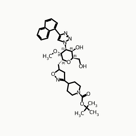 CO[C@@H]1[C@@H](n2cc(-c3cccc4ccccc34)nn2)[C@@H](O)[C@@H](CO)O[C@@H]1CC1CC(C2CCN(C(=O)OC(C)(C)C)CC2)=NO1